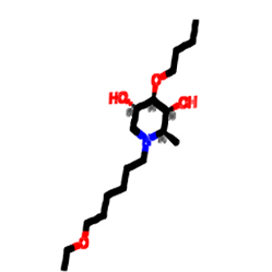 CCCCO[C@H]1[C@@H](O)[C@@H](C)N(CCCCCCOCC)C[C@@H]1O